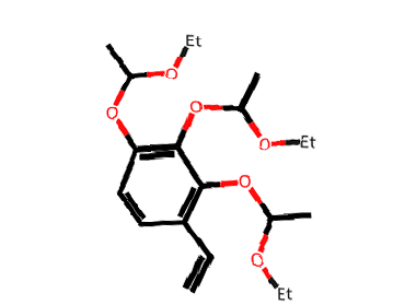 C=Cc1ccc(OC(C)OCC)c(OC(C)OCC)c1OC(C)OCC